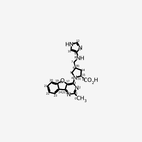 Cc1nc(N2C[C@@H](CNc3c[nH]cn3)C[C@H]2C(=O)O)c2oc3ccccc3c2n1